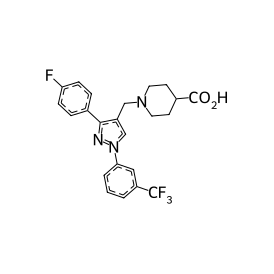 O=C(O)C1CCN(Cc2cn(-c3cccc(C(F)(F)F)c3)nc2-c2ccc(F)cc2)CC1